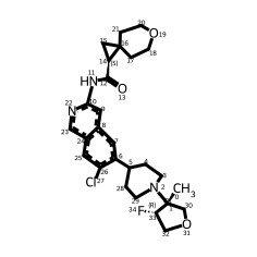 C[C@@]1(N2CCC(c3cc4cc(NC(=O)[C@H]5CC56CCOCC6)ncc4cc3Cl)CC2)COC[C@@H]1F